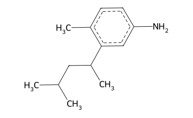 Cc1ccc(N)cc1C(C)CC(C)C